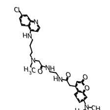 CCN(CCCCNc1ccnc2cc(Cl)ccc12)CC(=O)NCCNC(=O)Cc1cc(=O)oc2cc(N(C)C)ccc12